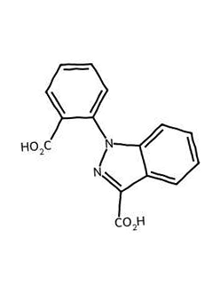 O=C(O)c1ccccc1-n1nc(C(=O)O)c2ccccc21